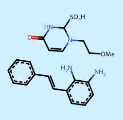 COCCN1C=CC(=O)NC1S(=O)(=O)O.Nc1cccc(C=Cc2ccccc2)c1N